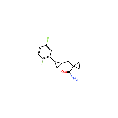 NC(=O)C1(CC2CC2c2cc(F)ccc2F)CC1